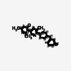 Cc1cc(=O)n(-c2cnc(N3CCC(Cc4cccc(F)c4)CC3)c(C)c2)c(C)n1